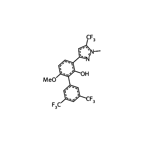 COc1ccc(-c2cc(C(F)(F)F)n(C)n2)c(O)c1-c1cc(C(F)(F)F)cc(C(F)(F)F)c1